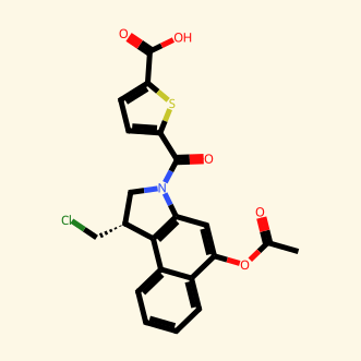 CC(=O)Oc1cc2c(c3ccccc13)[C@H](CCl)CN2C(=O)c1ccc(C(=O)O)s1